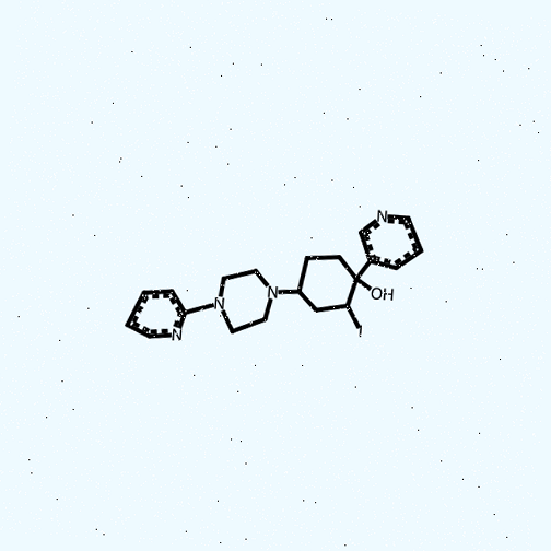 OC1(c2cccnc2)CCC(N2CCN(c3ccccn3)CC2)CC1I